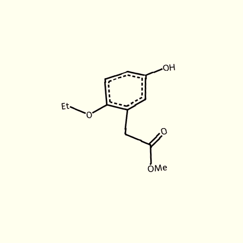 CCOc1ccc(O)cc1CC(=O)OC